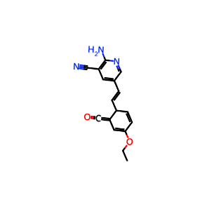 CCOC1=CC(=C=O)C(C=Cc2cnc(N)c(C#N)c2)C=C1